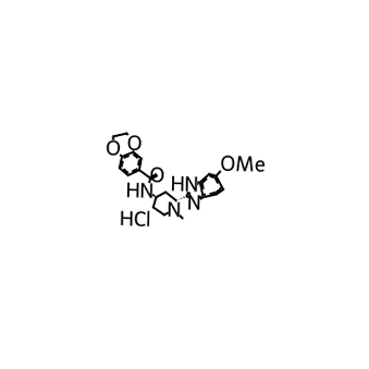 COc1ccc2nc([C@H]3C[C@H](NC(=O)c4ccc5c(c4)OCCO5)CCN3C)[nH]c2c1.Cl